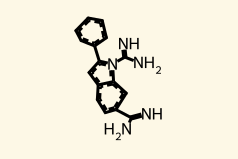 N=C(N)c1ccc2cc(-c3ccccc3)n(C(=N)N)c2c1